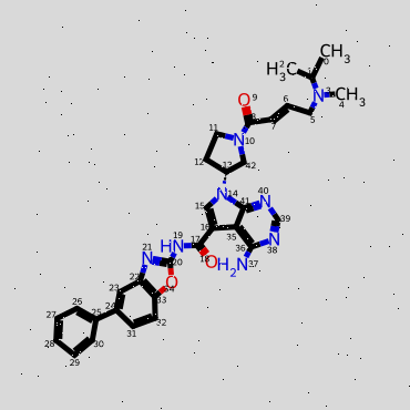 CC(C)N(C)CC=CC(=O)N1CC[C@@H](n2cc(C(=O)Nc3nc4cc(-c5ccccc5)ccc4o3)c3c(N)ncnc32)C1